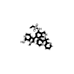 CCS(=O)(=O)Nc1cc(-c2cn(C)c3c(O)nccc23)cc2c1cnn2C(C)(c1ccccn1)c1ccccn1